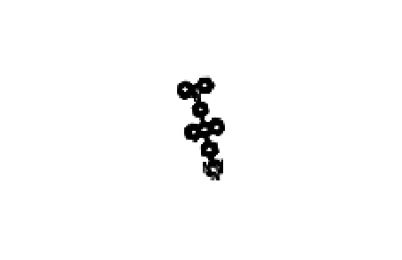 c1ccc2c(-c3ccc(-n4c5ccccc5c5ccccc54)cc3)c3ccccc3c(-c3ccc(-c4ncncn4)cc3)c2c1